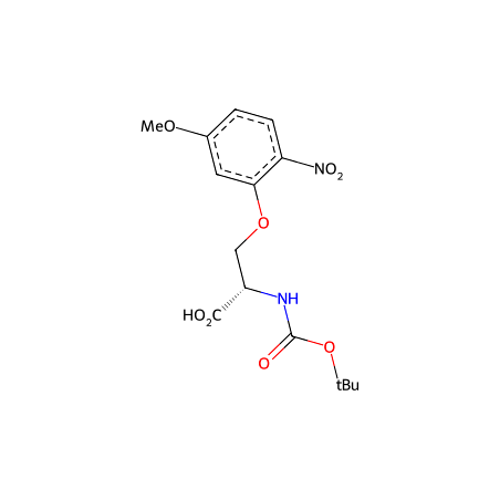 COc1ccc([N+](=O)[O-])c(OC[C@H](NC(=O)OC(C)(C)C)C(=O)O)c1